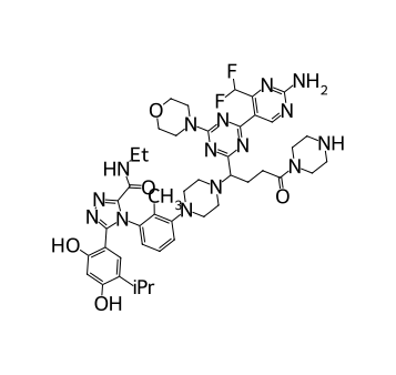 CCNC(=O)c1nnc(-c2cc(C(C)C)c(O)cc2O)n1-c1cccc(N2CCN(C(CCC(=O)N3CCNCC3)c3nc(-c4cnc(N)nc4C(F)F)nc(N4CCOCC4)n3)CC2)c1C